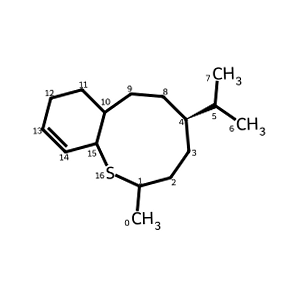 CC1CC[C@H](C(C)C)CCC2CCC=CC2S1